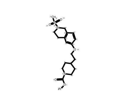 CC(C)OC(=O)N1CCC(CCOc2ccc3c(c2)CCN(S(C)(=O)=O)C3)CC1